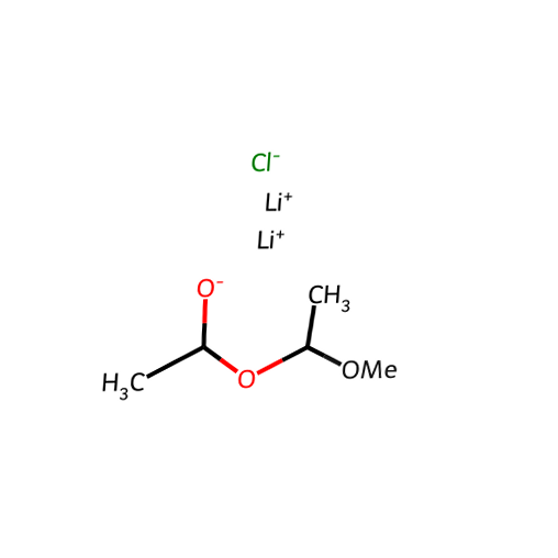 COC(C)OC(C)[O-].[Cl-].[Li+].[Li+]